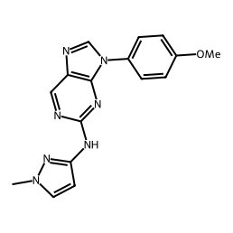 COc1ccc(-n2cnc3cnc(Nc4ccn(C)n4)nc32)cc1